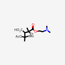 CCC(C)(C(=O)OCCN(C)C)C(C(=O)O)C(C)(OC(C)=O)C(C)(C)C